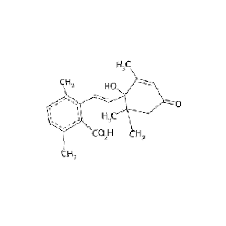 CC1=CC(=O)CC(C)(C)C1(O)C=Cc1c(C)ccc(C)c1C(=O)O